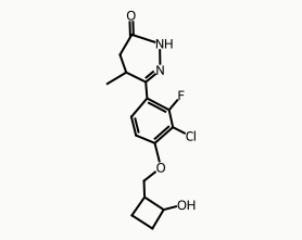 CC1CC(=O)NN=C1c1ccc(OCC2CCC2O)c(Cl)c1F